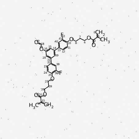 C=C(C)C(=O)OCCCOc1ccc(-c2cc(OC=O)cc(-c3ccc(OCCCOC(=O)C(=C)C)c(F)c3)c2)cc1F